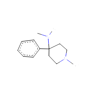 CCCN1CCC(c2ccccc2)(N(C)C(C)=O)CC1